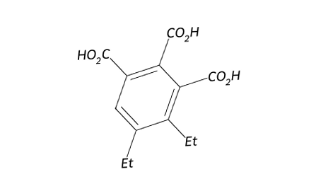 CCc1cc(C(=O)O)c(C(=O)O)c(C(=O)O)c1CC